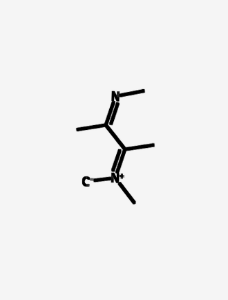 [CH2-]/[N+](C)=C(C)\C(C)=N/C